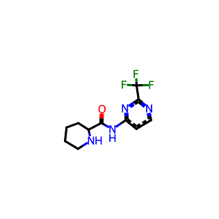 O=C(Nc1ccnc(C(F)(F)F)n1)C1CCCCN1